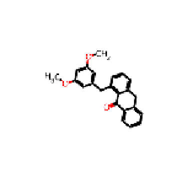 COc1cc(Cc2cccc3c2C(=O)c2ccccc2C3)cc(OC)c1